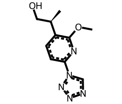 COc1nc(-n2cnnn2)ccc1[C@H](C)CO